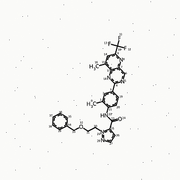 Cc1cc(-c2ncc3nc(C(F)(F)F)cc(C)c3n2)ccc1NC(=O)c1ccnn1CCOCc1ccccc1